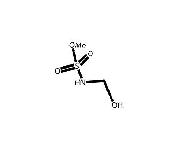 COS(=O)(=O)NCO